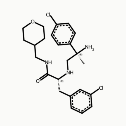 C[C@](N)(CN[C@H](Cc1cccc(Cl)c1)C(=O)NCC1CCOCC1)c1ccc(Cl)cc1